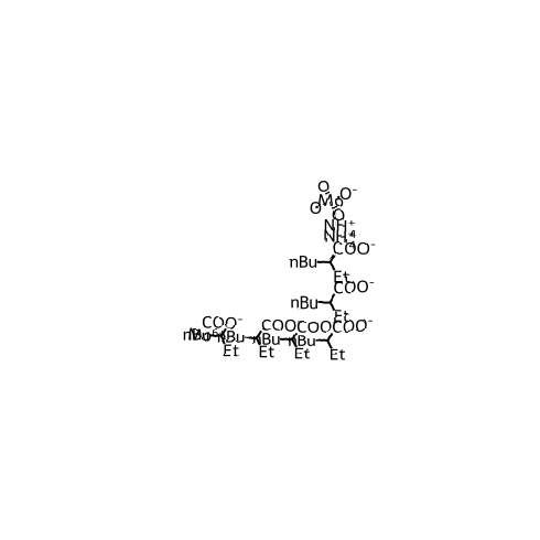 CCCCC(CC)C(=O)[O-].CCCCC(CC)C(=O)[O-].CCCCC(CC)C(=O)[O-].CCCCC(CC)C(=O)[O-].CCCCC(CC)C(=O)[O-].CCCCC(CC)C(=O)[O-].[Mo+6].[NH4+].[NH4+].[O]=[Mo](=[O])([O-])[O-]